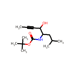 CC#CC(O)C(CC(C)C)NC(=O)OC(C)(C)C